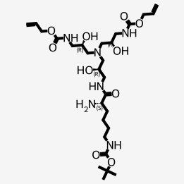 C=CCOC(=O)NC[C@@H](O)CN(C[C@H](O)CNC(=O)OCC=C)C[C@H](O)CNC(=O)[C@@H](N)CCCCNC(=O)OC(C)(C)C